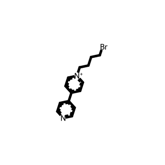 BrCCCC[n+]1ccc(-c2ccncc2)cc1